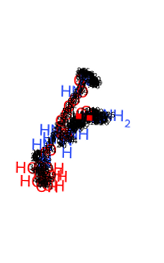 CC(C)[C@H](NC(=O)[C@@H](CCCCNC(=O)COC1CCCCCc2c1nnn2[C@H]1O[C@H](CO)[C@@H](O[C@H]2O[C@H](CO)[C@@H](O)[C@H](O)[C@H]2O)[C@H](O)[C@H]1O)NC(=O)CCOCCOCCOCCOCCNC(=O)CCC(=O)N1Cc2ccccc2C#Cc2ccccc21)C(=O)N[C@@H](C)C(=O)Nc1ccc2c(c1)[C@@]1(C)CCC[C@](C)(C(=O)NC(=O)[C@@]3(C)CCC[C@]4(C)c5cc(N)ccc5CC[C@@H]34)[C@@H]1CC2